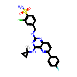 NS(=O)(=O)c1ccc(CNc2nc(NC3(C(F)(F)F)CC3)c3nc(-c4ccc(F)cc4)ccc3n2)cc1Cl